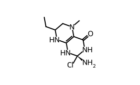 CCC1CN(C)C2=C(N1)N[C@@](N)(Cl)NC2=O